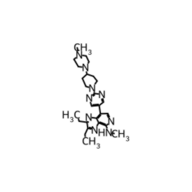 CCc1nc2c(-c3cnc(N4CCC(N5CCN(C)CC5)CC4)nc3)cnc(NC)c2nc1CC